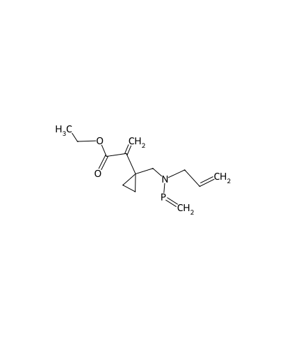 C=CCN(CC1(C(=C)C(=O)OCC)CC1)P=C